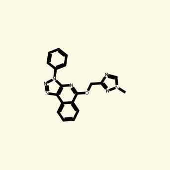 Cn1cnc(COc2nc3c(nnn3-c3ccccc3)c3ccccc23)n1